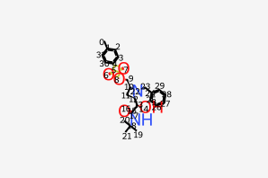 Cc1ccc(S(=O)(=O)OC[C@@H]2C[C@H]([C@@H](O)C(=O)NC(C)(C)C)N2Cc2ccccc2)cc1